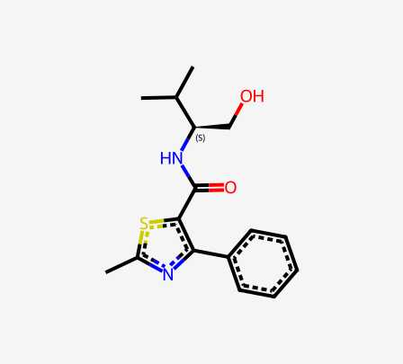 Cc1nc(-c2ccccc2)c(C(=O)N[C@H](CO)C(C)C)s1